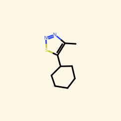 Cc1nnsc1C1C[CH]CCC1